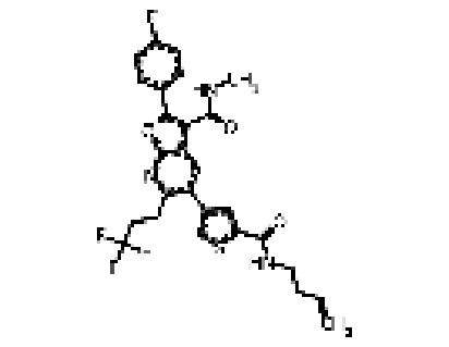 C=CCCNC(=O)c1cc(-c2cc3c(C(=O)NC)c(-c4ccc(F)cc4)oc3nc2CCC(F)(F)F)cs1